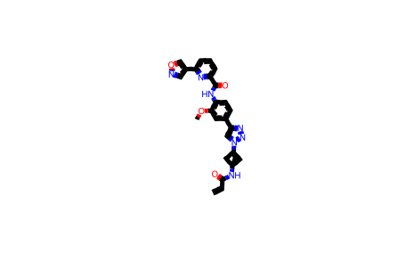 C=CC(=O)NC12CC(n3cc(-c4ccc(NC(=O)c5cccc(-c6cnoc6)n5)c(OC)c4)nn3)(C1)C2